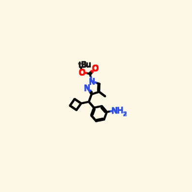 Cc1cn(C(=O)OC(C)(C)C)nc1C(c1cccc(N)c1)C1CCC1